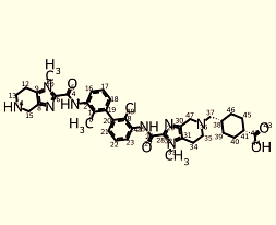 Cc1c(NC(=O)c2nc3c(n2C)CCNC3)cccc1-c1cccc(NC(=O)c2nc3c(n2C)CCN(C[C@H]2CC[C@@H](C(=O)O)CC2)C3)c1Cl